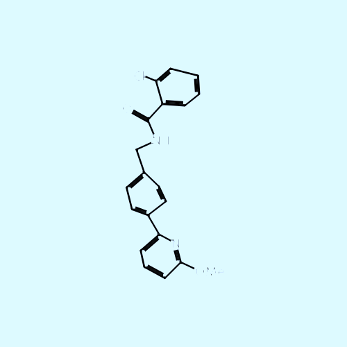 COc1cccc(-c2ccc(CNC(=O)c3ccccc3Cl)cc2)n1